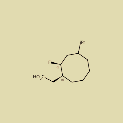 CC(C)C1CCCC[C@@H](CC(=O)O)[C@@H](F)C1